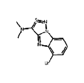 CN(C)C1=S=Nn2c1nc1c(Br)cccc12